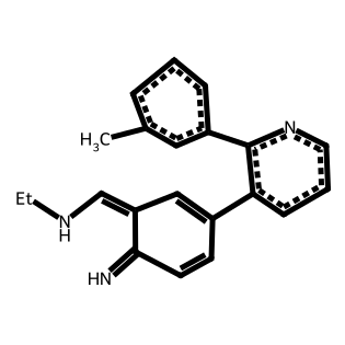 CCN/C=C1/C=C(c2cccnc2-c2cccc(C)c2)C=CC1=N